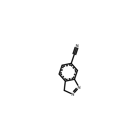 N#Cc1ccc2c(c1)N=NC2